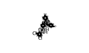 Cc1ccc(S(=O)(=O)N(c2cccc(NC(=O)Nc3cc(Cl)cc(Cl)c3)c2)S(=O)(=O)c2ccc(C)cc2)cc1